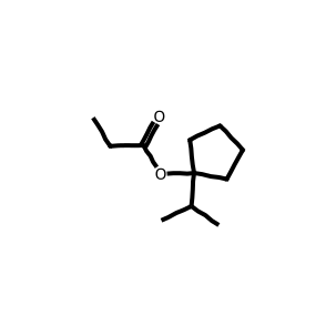 CCC(=O)OC1(C(C)C)CCCC1